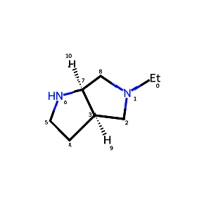 CCN1C[C@H]2CCN[C@H]2C1